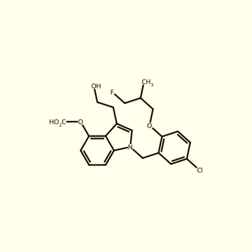 CC(CF)COc1ccc(Cl)cc1Cn1cc(CCO)c2c(OC(=O)O)cccc21